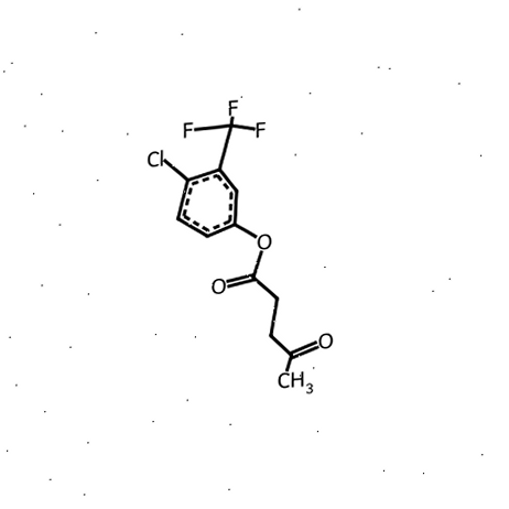 CC(=O)CCC(=O)Oc1ccc(Cl)c(C(F)(F)F)c1